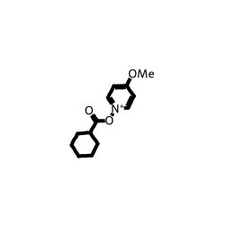 COc1cc[n+](OC(=O)C2CCCCC2)cc1